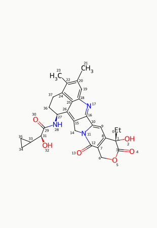 CC[C@@]1(O)C(=O)OCc2c1cc1n(c2=O)Cc2c-1nc1cc(C)c(C)c3c1c2[C@@H](NC(=O)[C@@H](O)C1CC1)CC3